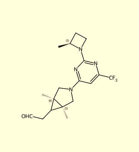 C[C@H]1CCN1c1nc(N2C[C@@]3(C)C(CC=O)[C@@]3(C)C2)cc(C(F)(F)F)n1